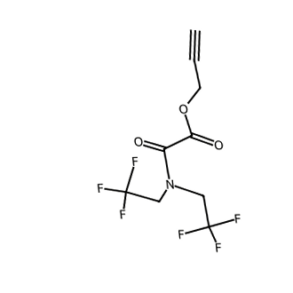 C#CCOC(=O)C(=O)N(CC(F)(F)F)CC(F)(F)F